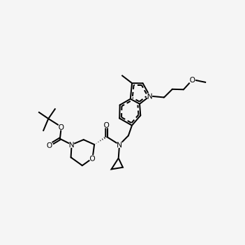 COCCCn1cc(C)c2ccc(CN(C(=O)[C@H]3CN(C(=O)OC(C)(C)C)CCO3)C3CC3)cc21